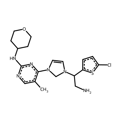 Cc1cnc(NC2CCOCC2)nc1N1C=CN(C(CN)c2ccc(Cl)s2)C1